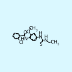 CCNC(=S)Nc1ccc(NC(=O)c2ccccc2Cl)c(OC)c1